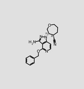 N#C[C@@H]1CCCOC[C@H]1n1nc(N)c2c(OCc3ccccc3)nccc21